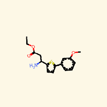 CCOC(=O)CC(N)c1ccc(-c2cccc(OC)c2)s1